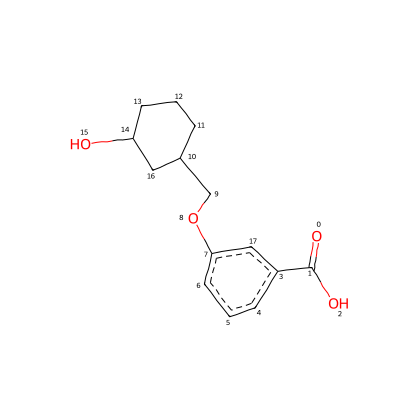 O=C(O)c1cccc(OCC2CCCC(O)C2)c1